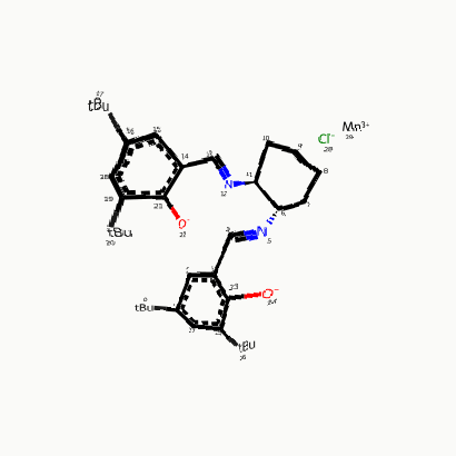 CC(C)(C)c1cc(C=N[C@H]2CCCC[C@@H]2N=Cc2cc(C(C)(C)C)cc(C(C)(C)C)c2[O-])c([O-])c(C(C)(C)C)c1.[Cl-].[Mn+3]